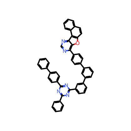 c1ccc(-c2ccc(-c3nc(-c4ccccc4)nc(-c4cccc(-c5cccc(-c6ccc(-c7ncnc8c7oc7ccc9ccccc9c78)cc6)c5)c4)n3)cc2)cc1